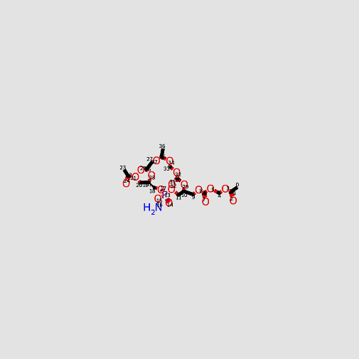 CC(=O)OCOC(=O)OCC(COP(=O)(ON)OC[C@@H](COC(C)=O)OC(C)=O)OC(=O)OCOC(C)=O